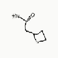 [NH]C(=O)CC1CCS1